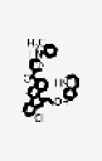 C1=CNc2ccccc2C=C1.Cc1ccccc1Nc1ccc(C(=O)C2=c3ccc4c(c3CCC2)C(CCO)C=c2c(Cl)cccc2=4)cn1